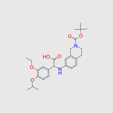 CCOc1cc(C(Nc2ccc3c(c2)CN(C(=O)OC(C)(C)C)CC3)C(=O)O)ccc1OC(C)C